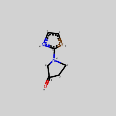 O=C1CCN(c2nccs2)C1